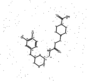 O=C(CCC1CCN(C(=O)O)CC1)NC[C@H]1CN(Cc2ccc(Cl)c(Cl)c2)CCO1